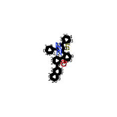 c1ccc(-c2nc(-c3cccc4oc5c(-c6ccc7ccccc7c6)cccc5c34)c3sc4ccccc4c3n2)cc1